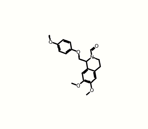 COc1ccc(OCC2c3cc(OC)c(OC)cc3CCN2C=O)cc1